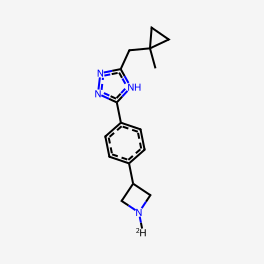 [2H]N1CC(c2ccc(-c3nnc(CC4(C)CC4)[nH]3)cc2)C1